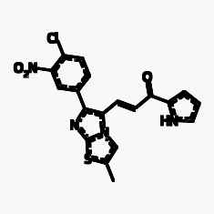 Cc1cn2c(/C=C/C(=O)c3ccc[nH]3)c(-c3ccc(Cl)c([N+](=O)[O-])c3)nc2s1